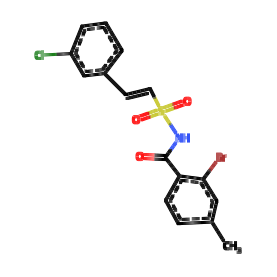 Cc1ccc(C(=O)NS(=O)(=O)C=Cc2cccc(Cl)c2)c(Br)c1